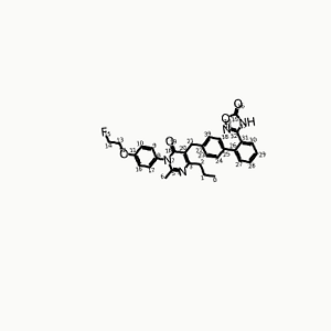 CCCc1nc(C)n(-c2ccc(OCCF)cc2)c(=O)c1Cc1ccc(-c2ccccc2-c2noc(=O)[nH]2)cc1